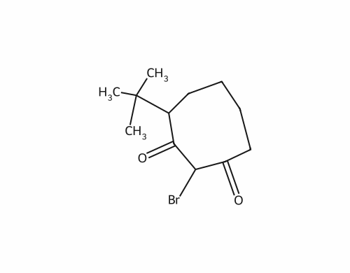 CC(C)(C)C1CCCCC(=O)C(Br)C1=O